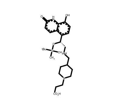 CC(C)(C)[Si](C)(C)O[C@@H](CNCC1CCN(CCC(=O)O)CC1)c1ccc(O)c2[nH]c(=O)ccc12